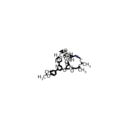 CC(C)Oc1ccc(-c2cc(O[C@@H]3C[C@H]4C(=O)N[C@]5(C(=O)NS(=O)(=O)C6(C)CC6)CC5/C=C\CC[C@H](C)C[C@@H](C)CC(=O)N4C3)cc(-c3cnccn3)n2)cc1